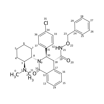 CN(C)[C@H]1CCCC[C@@H]1N1C(=O)c2ccccc2[C@@H](C(=O)NOCc2ccccc2)[C@@H]1c1ccc(Cl)cc1